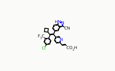 N#Cc1n[nH]c2ccc(/C(=C(/c3ccc(Cl)cc3C(F)(F)F)C3CCC3)c3ccc(/C=C/C(=O)O)nc3)cc12